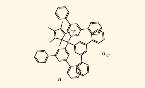 CC1=C(C)C(C)([Si](c2cc(-c3ccccc3)cc(-c3ccccc3)c2)(c2cc(-c3ccccc3)cc(-c3ccccc3)c2)c2cc(-c3ccccc3)cc(-c3ccccc3)c2)[C]([Ti+3])=C1C.[Cl-].[Cl-].[Cl-]